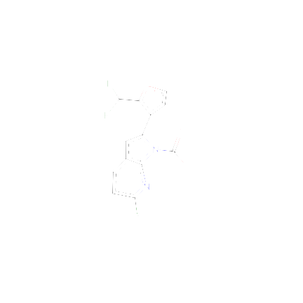 O=C(O)n1c(-c2ccoc2C(F)F)cc2ccc(Cl)nc21